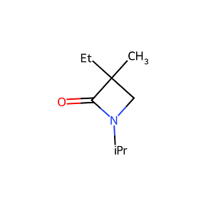 CCC1(C)CN(C(C)C)C1=O